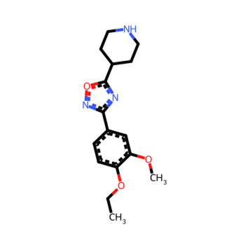 CCOc1ccc(-c2noc(C3CCNCC3)n2)cc1OC